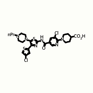 CCCN1CCN(c2sc(NC(=O)c3cnc(N4CCC(C(=O)O)CC4)c(Cl)c3)nc2-c2cc(Cl)cs2)CC1